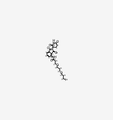 O=C1CCC(N2C(=O)c3cccc(NC(=O)CCOCCCOCCCI)c3C2=O)C(=O)N1